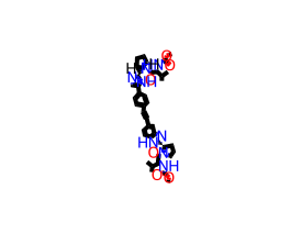 COC(=O)N[C@H](C(=O)N1CCC[C@H]1c1nc2cc(C#Cc3ccc(-c4cnc([C@@H]5[C@H]6CC[C@H](C6)N5C(=O)[C@@H](NC(=O)OC)C(C)C)[nH]4)cc3)ccc2[nH]1)C(C)C